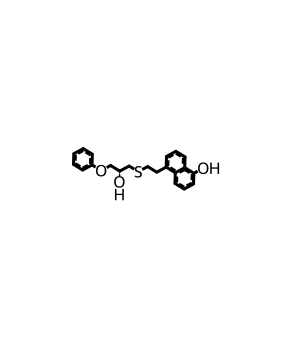 Oc1cccc2c(CCSC[C@H](O)COc3ccccc3)cccc12